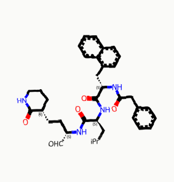 CC(C)C[C@H](NC(=O)[C@H](Cc1cccc2ccccc12)NC(=O)Cc1ccccc1)C(=O)N[C@H](C=O)CC[C@H]1CCCNC1=O